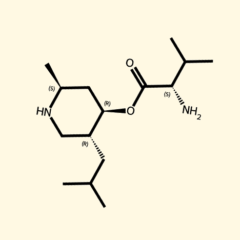 CC(C)C[C@@H]1CN[C@@H](C)C[C@H]1OC(=O)[C@@H](N)C(C)C